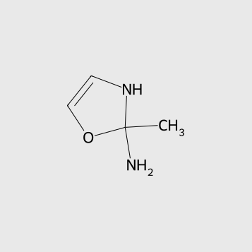 CC1(N)NC=CO1